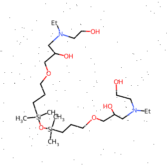 CCN(CCO)CC(O)COCCC[Si](C)(C)O[Si](C)(C)CCCOCC(O)CN(CC)CCO